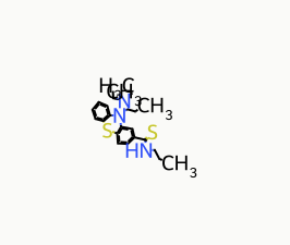 CCCNC(=S)c1ccc2c(c1)N(C(CC)N(CC)CC)c1ccccc1S2